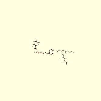 CCCCCCN(CCOc1ccc(CCCCNC(=N)NC(=O)c2nc(Cl)c(N)nc2N)cc1)C[C@H](O)[C@@H](O)[C@@H](O)[C@H](O)CC